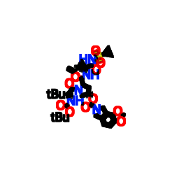 C=C[C@H]1C[C@@]1(NC(=O)C1C[C@@H](OC(=O)N2Cc3ccc4c(c3C2)OCO4)CN1C(=O)[C@@H](NC(=O)OC(C)(C)C)C(C)(C)C)C(=O)NS(=O)(=O)C1CC1